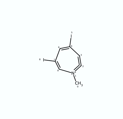 C[N+]1=C=CC(I)=CC(I)=C1